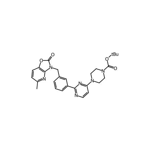 Cc1ccc2oc(=O)n(Cc3cccc(-c4nccc(N5CCN(C(=O)OC(C)(C)C)CC5)n4)c3)c2n1